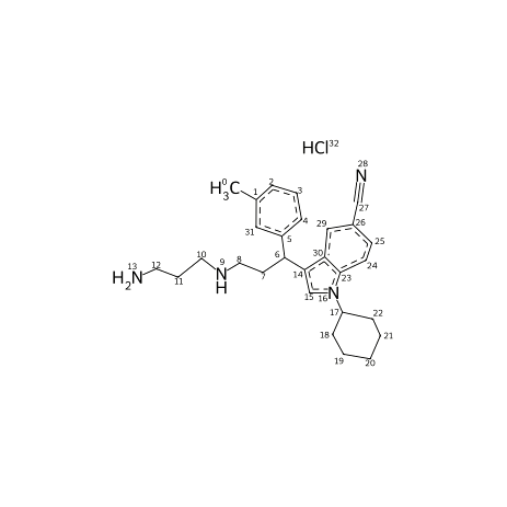 Cc1cccc(C(CCNCCCN)c2cn(C3CCCCC3)c3ccc(C#N)cc23)c1.Cl